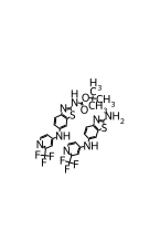 CC(C)(C)OC(=O)Nc1nc2ccc(Nc3ccnc(C(F)(F)F)c3)cc2s1.Nc1nc2ccc(Nc3ccnc(C(F)(F)F)c3)cc2s1